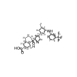 Cc1cc(Nc2nccc(C(F)(F)F)n2)cc(-c2cnc([C@]3(O)CCCc4cc(C(=O)O)ccc43)s2)c1